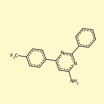 Nc1cc(-c2ccc(C(F)(F)F)cc2)nc(-c2ccccc2)n1